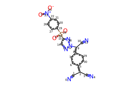 N#CC(C#N)=c1ccc(=C(C#N)n2ncc(S(=O)(=O)c3ccc([N+](=O)[O-])cc3)n2)cc1